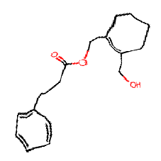 O=C(CCc1ccccc1)OCC1=C(CO)CCCC1